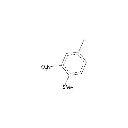 [CH2]c1ccc(SC)c([N+](=O)[O-])c1